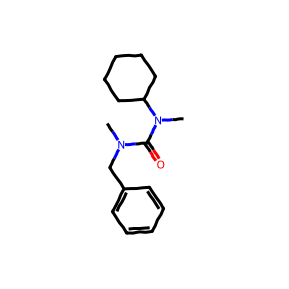 CN(Cc1ccccc1)C(=O)N(C)C1CCCCC1